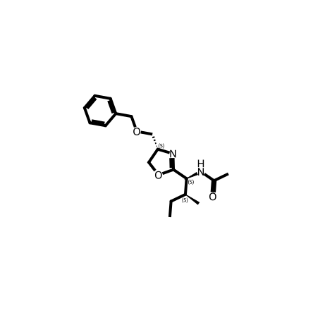 CC[C@H](C)[C@H](NC(C)=O)C1=N[C@@H](COCc2ccccc2)CO1